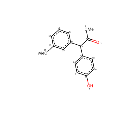 COC(=O)C(c1ccc(O)cc1)c1cccc(OC)c1